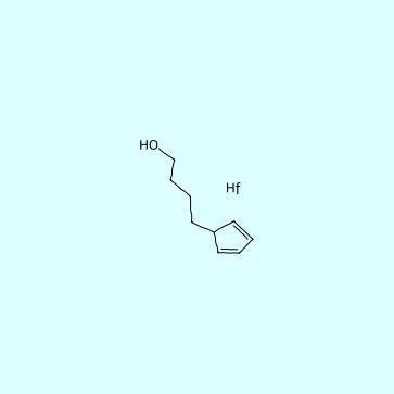 OCCCCC1C=CC=C1.[Hf]